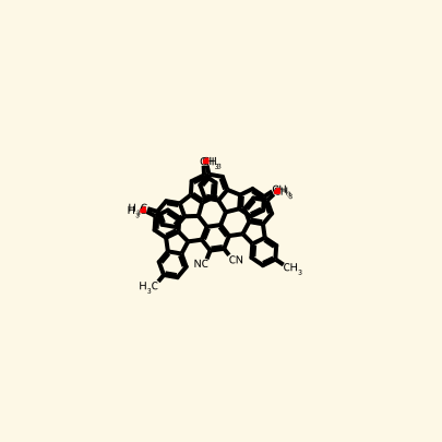 Cc1ccc2c(c1)-c1cc(C)ccc1C2c1c(C#N)c(C#N)c(C2c3ccc(C)cc3-c3cc(C)ccc32)c(C2c3ccc(C)cc3-c3cc(C)ccc32)c1C1c2ccc(C)cc2-c2cc(C)ccc21